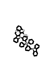 C=Cc1c(-c2c(C)oc3ccccc23)n(-c2cccc([Si](c3ccccc3)(c3ccccc3)c3cccc(-n4c5ccccc5c5ccccc54)c3)c2)c2ccccc12